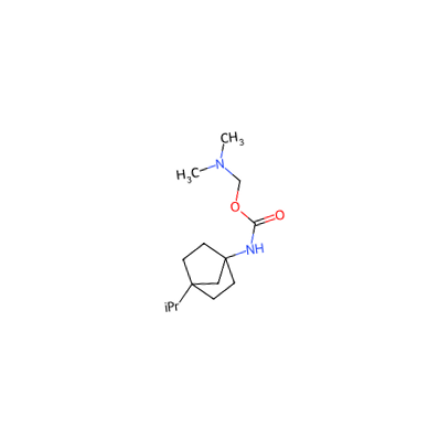 CC(C)C12CCC(NC(=O)OCN(C)C)(CC1)C2